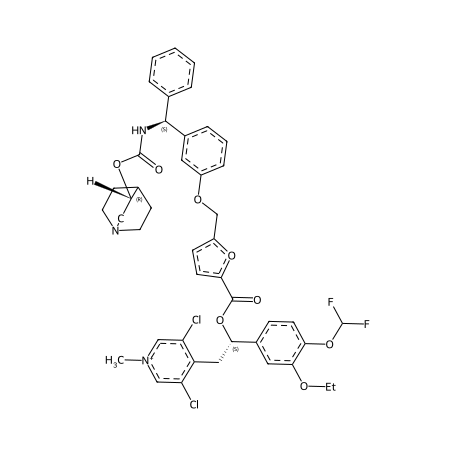 CCOc1cc([C@H](Cc2c(Cl)c[n+](C)cc2Cl)OC(=O)c2ccc(COc3cccc([C@@H](NC(=O)O[C@H]4CN5CCC4CC5)c4ccccc4)c3)o2)ccc1OC(F)F